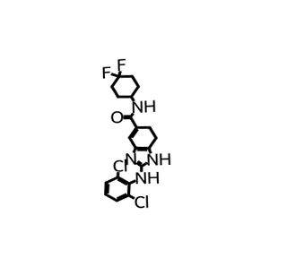 O=C(NC1CCC(F)(F)CC1)C1=Cc2nc(Nc3c(Cl)cccc3Cl)[nH]c2CC1